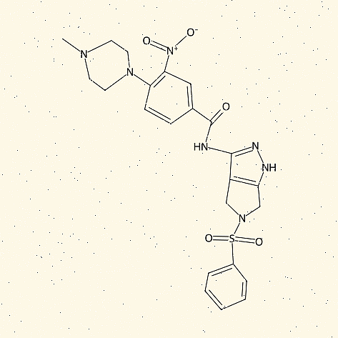 CN1CCN(c2ccc(C(=O)Nc3n[nH]c4c3CN(S(=O)(=O)c3ccccc3)C4)cc2[N+](=O)[O-])CC1